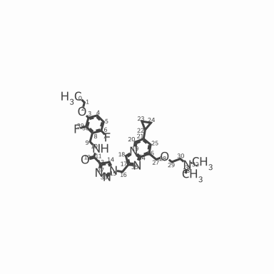 CCOc1ccc(F)c(CNC(=O)c2cn(Cc3cn4cc(C5CC5)cc(COCCN(C)C)c4n3)nn2)c1F